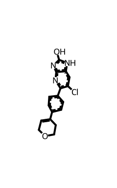 Oc1nc2nc(-c3ccc(C4=CCOCC4)cc3)c(Cl)cc2[nH]1